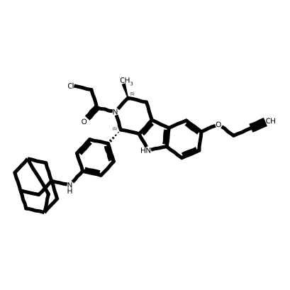 C#CCOc1ccc2[nH]c3c(c2c1)C[C@H](C)N(C(=O)CCl)[C@H]3c1ccc(NC23CC4CC(CC(C4)C2)C3)cc1